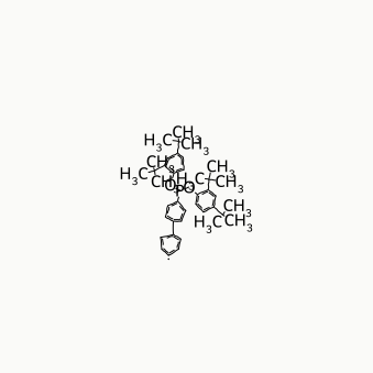 CC(C)(C)c1ccc(OP(Oc2ccc(C(C)(C)C)cc2C(C)(C)C)c2ccc(-c3cc[c]cc3)cc2)c(C(C)(C)C)c1